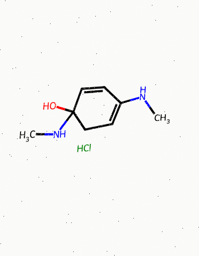 CNC1=CCC(O)(NC)C=C1.Cl